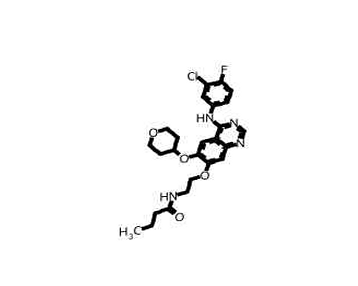 CCCC(=O)NCCOc1cc2ncnc(Nc3ccc(F)c(Cl)c3)c2cc1OC1CCOCC1